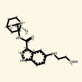 COCCNc1ccc2[nH]nc(C(=O)N[C@H]3CC4CCN3CC4)c2c1